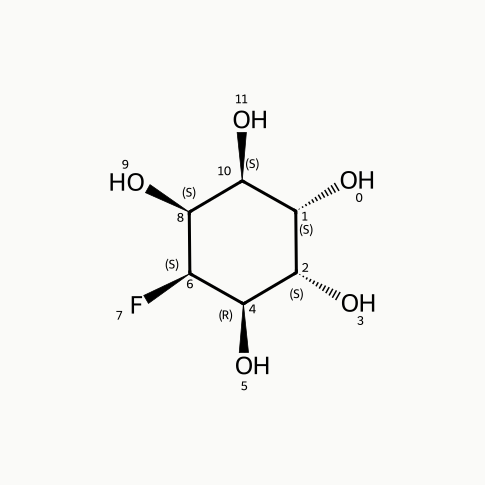 O[C@@H]1[C@H](O)[C@@H](O)[C@@H](F)[C@@H](O)[C@H]1O